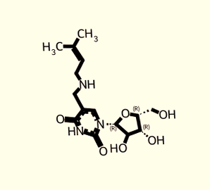 CC(C)=CCNCc1cn([C@@H]2O[C@H](CO)[C@H](O)C2O)c(=O)[nH]c1=O